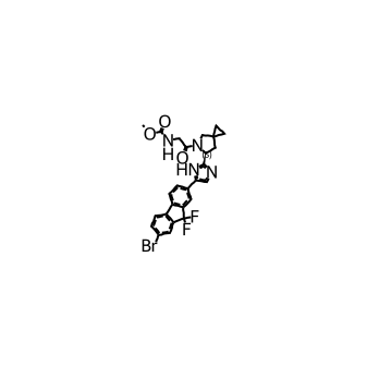 COC(=O)NCC(=O)N1CC2(CC2)C[C@H]1c1ncc(-c2ccc3c(c2)C(F)(F)c2cc(Br)ccc2-3)[nH]1